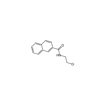 [O]CCNC(=O)c1ccc2ccccc2c1